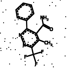 Cc1c(C(F)(F)F)nnc(-c2ccccc2)c1C(N)=O